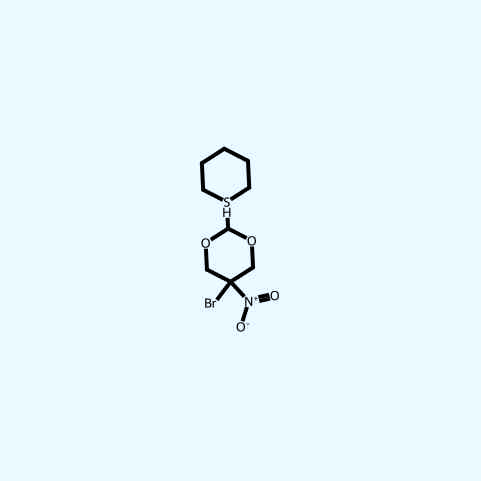 O=[N+]([O-])C1(Br)COC([SH]2CCCCC2)OC1